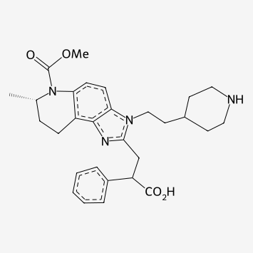 COC(=O)N1c2ccc3c(nc(CC(C(=O)O)c4ccccc4)n3CCC3CCNCC3)c2CC[C@@H]1C